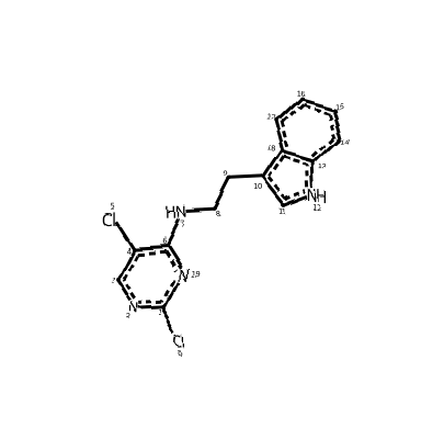 Clc1ncc(Cl)c(NCCc2c[nH]c3ccccc23)n1